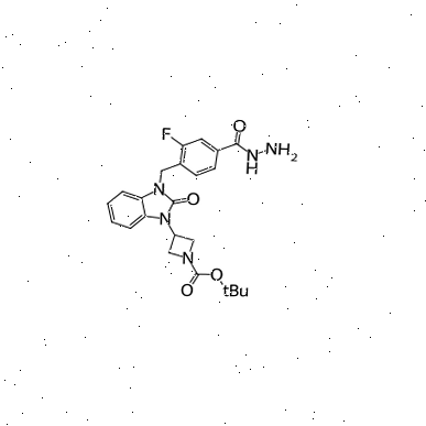 CC(C)(C)OC(=O)N1CC(n2c(=O)n(Cc3ccc(C(=O)NN)cc3F)c3ccccc32)C1